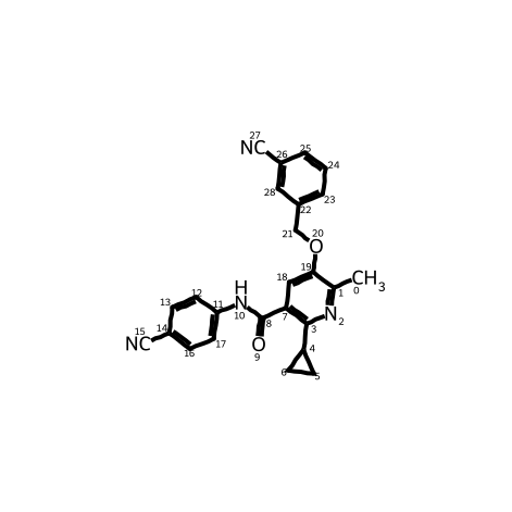 Cc1nc(C2CC2)c(C(=O)Nc2ccc(C#N)cc2)cc1OCc1cccc(C#N)c1